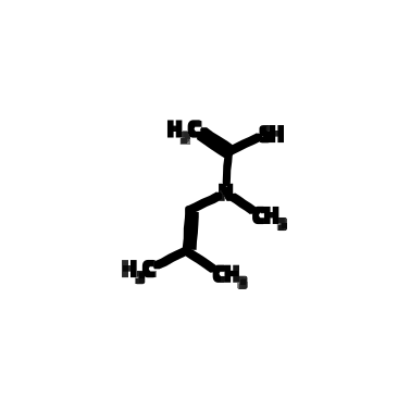 C=C(S)N(C)C=C(C)C